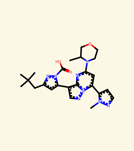 CC1COCCN1c1cc(-c2ccnn2C)n2ncc(-c3cc(CC(C)(C)C)nn3C(=O)O)c2n1